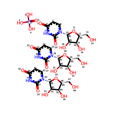 O=P(O)(O)O.O=c1ccn([C@@H]2O[C@H](CO)[C@@H](O)[C@H]2O)c(=O)[nH]1.O=c1ccn([C@@H]2O[C@H](CO)[C@@H](O)[C@H]2O)c(=O)[nH]1.O=c1ccn([C@@H]2O[C@H](CO)[C@@H](O)[C@H]2O)c(=O)[nH]1